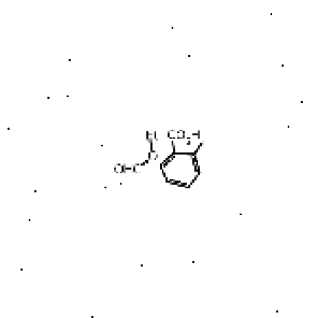 CCOC=O.Cc1ccccc1C(=O)O